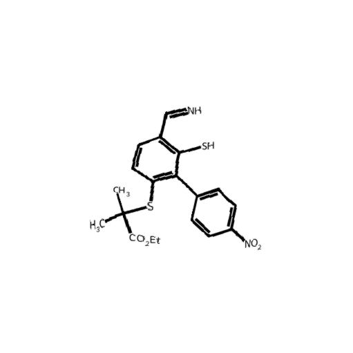 CCOC(=O)C(C)(C)Sc1ccc(C=N)c(S)c1-c1ccc([N+](=O)[O-])cc1